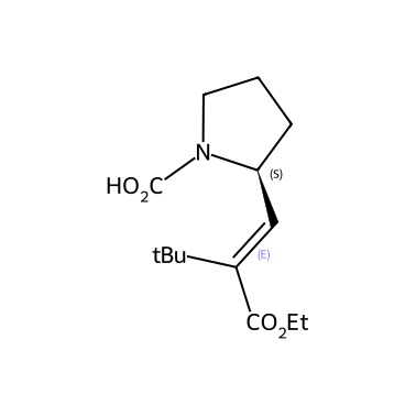 CCOC(=O)/C(=C/[C@@H]1CCCN1C(=O)O)C(C)(C)C